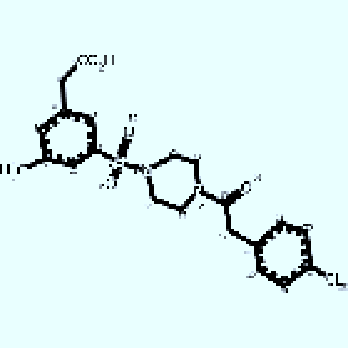 Cc1cc(CC(=O)O)cc(S(=O)(=O)N2CCN(C(=O)Cc3ccc(Cl)cc3)CC2)c1